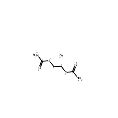 NC(=O)SCCSC(N)=O.[Zn]